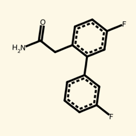 NC(=O)Cc1ccc(F)cc1-c1cccc(F)c1